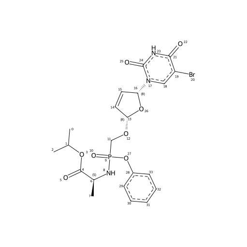 CC(C)OC(=O)[C@H](C)NP(=O)(CO[C@@H]1C=C[C@H](n2cc(Br)c(=O)[nH]c2=O)O1)Oc1ccccc1